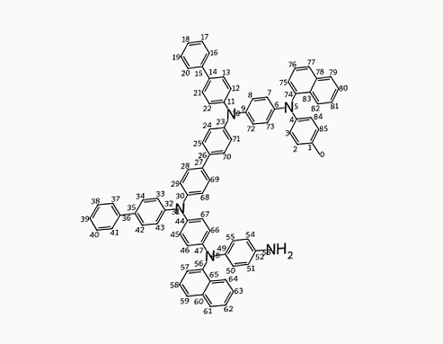 Cc1ccc(N(c2ccc(N(c3ccc(-c4ccccc4)cc3)c3ccc(-c4ccc(N(c5ccc(-c6ccccc6)cc5)c5ccc(N(c6ccc(N)cc6)c6cccc7ccccc67)cc5)cc4)cc3)cc2)c2cccc3ccccc23)cc1